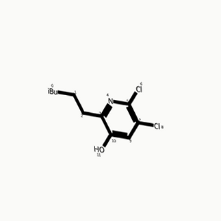 CCC(C)CCc1nc(Cl)c(Cl)cc1O